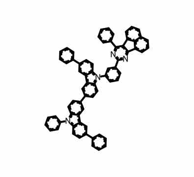 c1ccc(-c2ccc3c(c2)c2cc(-c4ccc5c(c4)c4cc(-c6ccccc6)ccc4n5-c4cccc(-c5nc(-c6ccccc6)c6c(n5)-c5cccc7cccc-6c57)c4)ccc2n3-c2ccccc2)cc1